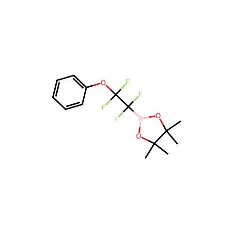 CC1(C)OB(C(F)(F)C(F)(F)Oc2ccccc2)OC1(C)C